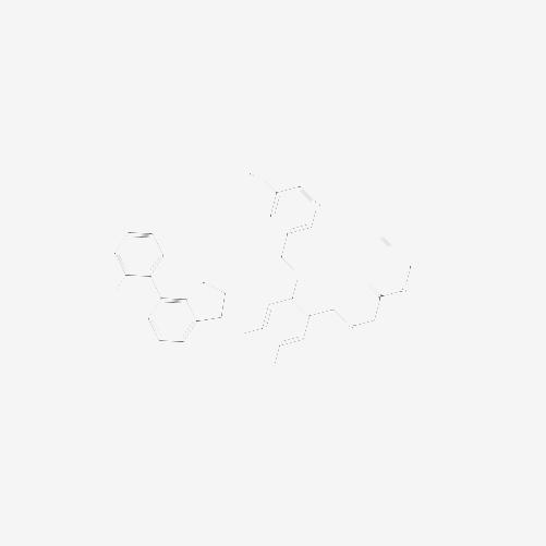 C[C@H](NCc1cc(Cl)c(O[C@H]2CCc3c(-c4ccccc4F)cccc32)cc1OCc1cncc(C#N)c1)C(=O)N[C@@H](C)P(=O)(O)O